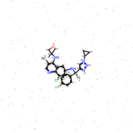 [2H][C@](Nc1cc(Cl)c2ncc(C#N)c(NC3(C)COC3)c2c1)(c1ccc(F)cc1)c1cn(C2CC2)nn1